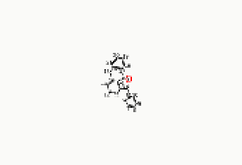 O=Cc1c(Cc2ccccc2)cccc1Cc1ccccc1